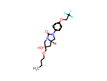 CCCCOC[C@]1(O)C[C@H]2CN(c3ccc(OCC(F)(F)F)cc3)C(=O)N2C1